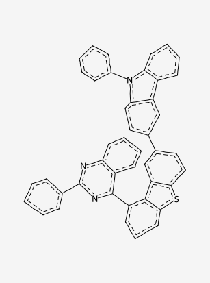 c1ccc(-c2nc(-c3cccc4sc5ccc(-c6ccc7c(c6)c6ccccc6n7-c6ccccc6)cc5c34)c3ccccc3n2)cc1